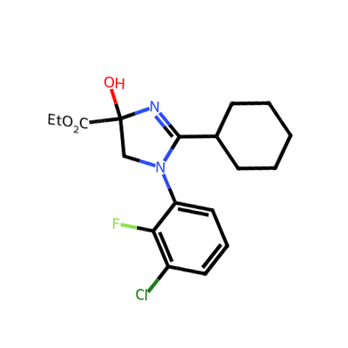 CCOC(=O)C1(O)CN(c2cccc(Cl)c2F)C(C2CCCCC2)=N1